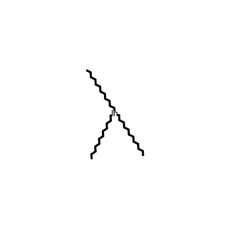 CCCCCCCCCCC[CH2][In]([CH2]CCCCCCCCCCC)[CH2]CCCCCCCCCCC